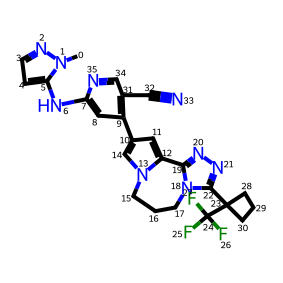 Cn1nccc1Nc1cc(-c2cc3n(c2)CCCn2c-3nnc2C2(C(F)(F)F)CCC2)c(C#N)cn1